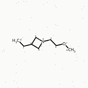 CCC1CN(CCOC)C1